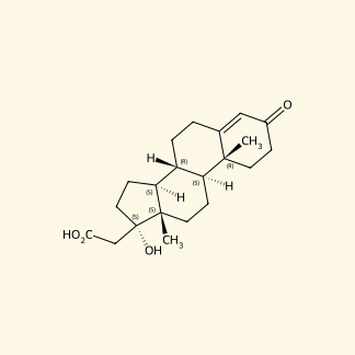 C[C@]12CCC(=O)C=C1CC[C@@H]1[C@@H]2CC[C@@]2(C)[C@H]1CC[C@]2(O)CC(=O)O